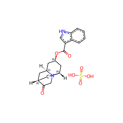 O=C(O[C@@H]1C[C@@H]2C[C@@H]3C[C@H](C1)N2CC3=O)c1c[nH]c2ccccc12.O=S(=O)(O)O